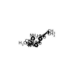 CC(C)n1cnc2c(Nc3cccc(NC(=O)c4ccc(NC(=O)C=CCN(C)C)cc4)c3)nc(N3CCCC(N)C3)nc21